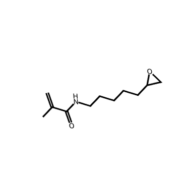 C=C(C)C(=O)NCCCCCC1CO1